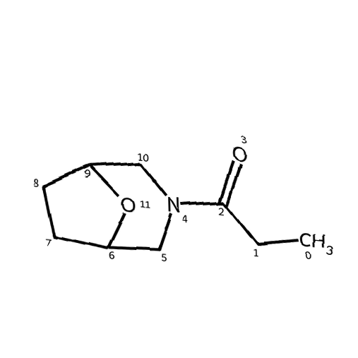 CCC(=O)N1CC2CCC(C1)O2